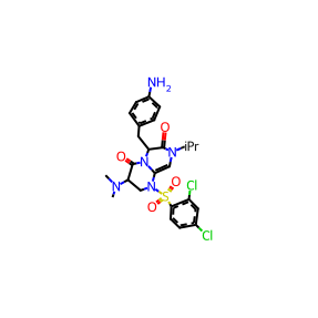 CC(C)N1C=C2N(C(=O)C(N(C)C)CN2S(=O)(=O)c2ccc(Cl)cc2Cl)C(Cc2ccc(N)cc2)C1=O